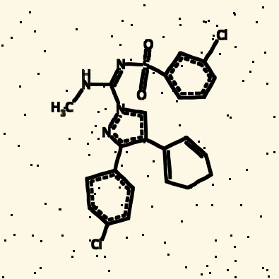 CNC(=NS(=O)(=O)c1cccc(Cl)c1)n1cc(C2=CCCC=C2)c(-c2ccc(Cl)cc2)n1